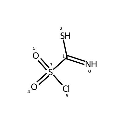 N=C(S)S(=O)(=O)Cl